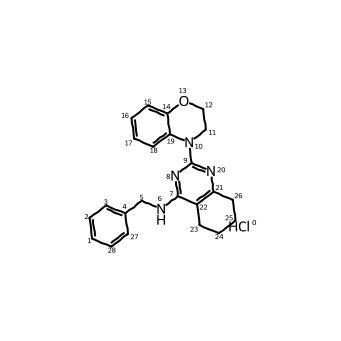 Cl.c1ccc(CNc2nc(N3CCOc4ccccc43)nc3c2CCCC3)cc1